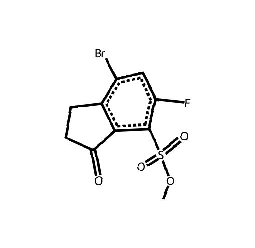 COS(=O)(=O)c1c(F)cc(Br)c2c1C(=O)CC2